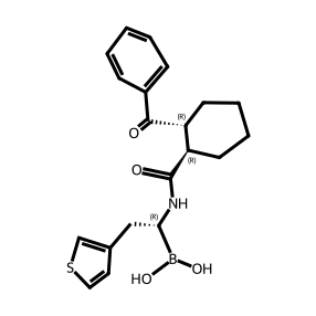 O=C(N[C@@H](Cc1ccsc1)B(O)O)[C@@H]1CCCC[C@H]1C(=O)c1ccccc1